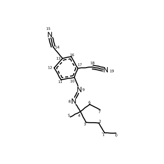 C[CH]CCC(C)(CC)/N=N/c1ccc(C#N)cc1C#N